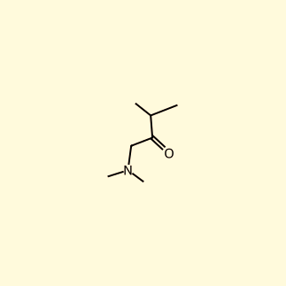 CC(C)C(=O)CN(C)C